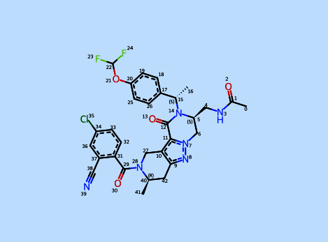 CC(=O)NC[C@H]1Cn2nc3c(c2C(=O)N1[C@@H](C)c1ccc(OC(F)F)cc1)CN(C(=O)c1ccc(Cl)cc1C#N)[C@H](C)C3